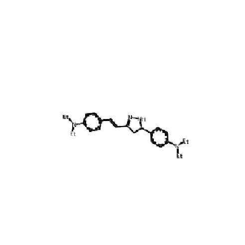 CCN(CC)c1ccc(C=CC2=NNC(c3ccc(N(CC)CC)cc3)C2)cc1